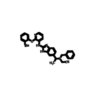 CC(c1ccc2nc(Nc3cccnc3Oc3ccccc3C(C)(C)C)[nH]c2c1)N(CC#N)Cc1ccccc1